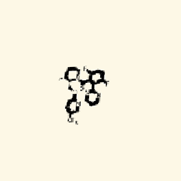 C[C@@H]1CCCN(C(=O)c2c(F)ccc(F)c2-c2ncccn2)[C@@H]1COc1ccc(C(F)(F)F)cn1